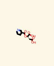 O=C(O)C[C@H](OC(=O)c1cccnc1)C(=O)O